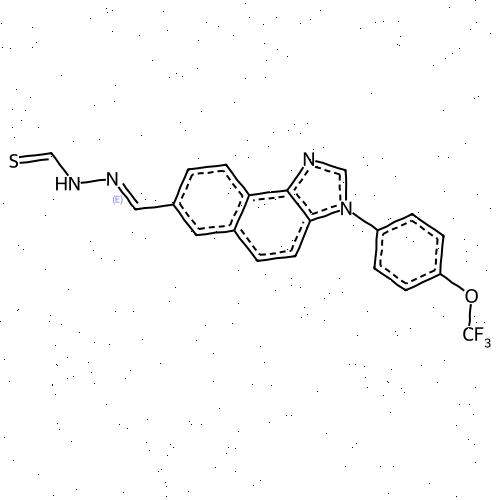 FC(F)(F)Oc1ccc(-n2cnc3c4ccc(/C=N/NC=S)cc4ccc32)cc1